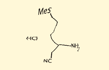 CSCCC(N)C#N.Cl